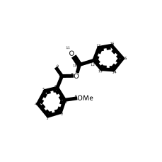 COc1ccccc1C(C)OC(=O)c1ccccc1